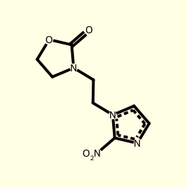 O=C1OCCN1CCn1ccnc1[N+](=O)[O-]